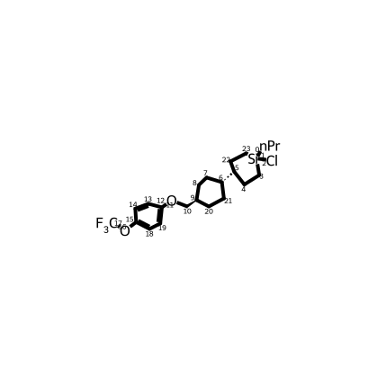 CCC[Si]1(Cl)CCC([C@H]2CC[C@H](COc3ccc(OC(F)(F)F)cc3)CC2)CC1